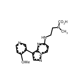 COc1ccncc1-c1cnn2ccc(NCCN(C)C(=O)O)nc12